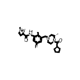 Cc1c(CN2CCN(C(=O)C3CCCC3)[C@@H](C)C2)cc(F)cc1NC(=O)c1ccn(C)n1